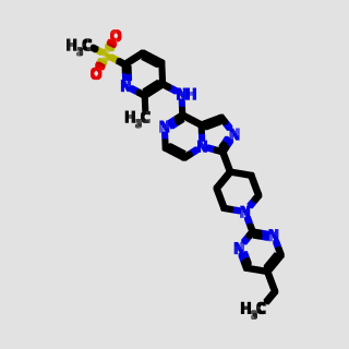 CCc1cnc(N2CCC(c3ncc4c(Nc5ccc(S(C)(=O)=O)nc5C)nccn34)CC2)nc1